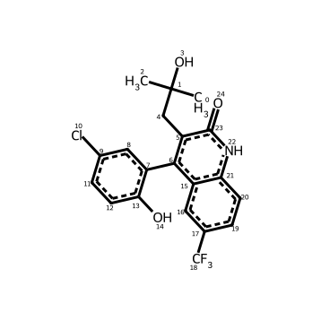 CC(C)(O)Cc1c(-c2cc(Cl)ccc2O)c2cc(C(F)(F)F)ccc2[nH]c1=O